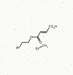 CC(C)CCOC(=O)C=CC(=O)O.CCC